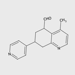 Cc1ccnc2c1C(C=O)CC(c1ccncc1)C2